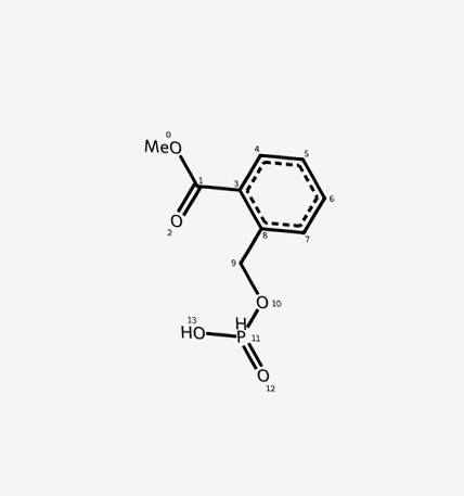 COC(=O)c1ccccc1CO[PH](=O)O